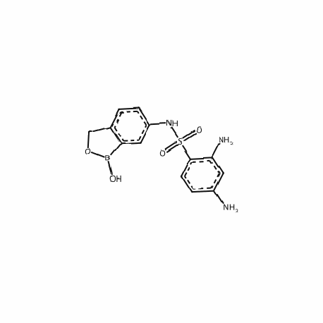 Nc1ccc(S(=O)(=O)Nc2ccc3c(c2)B(O)OC3)c(N)c1